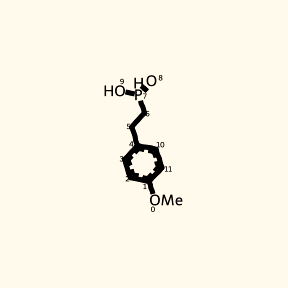 COc1ccc(CC[PH](=O)O)cc1